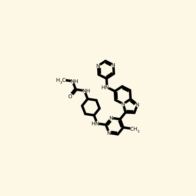 CNC(=O)NC1CCC(Nc2ncc(C)c(-c3cnc4ccc(Nc5cncnc5)cn34)n2)CC1